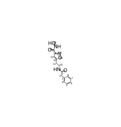 O=C(Cc1ccccc1)NCCc1cc(C(=O)NO)no1